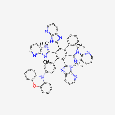 Cn1c(-c2c(-c3ccccc3)c(-c3nc4cccnc4n3C)c(-c3nc4cccnc4n3C)c(-c3ccc(N4c5ccccc5Oc5ccccc54)cc3)c2-c2nc3cccnc3n2C)nc2cccnc21